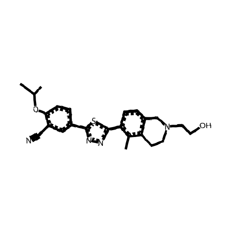 Cc1c(-c2nnc(-c3ccc(OC(C)C)c(C#N)c3)s2)ccc2c1CCN(CCO)C2